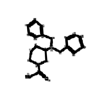 O=C(O)N1CCCC(N(Cc2ccccc2)Cc2ccccc2)C1